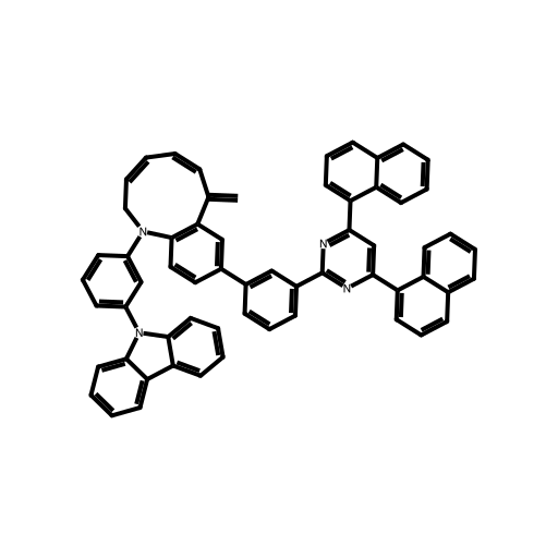 C=C1/C=C\C=C/CN(c2cccc(-n3c4ccccc4c4ccccc43)c2)c2ccc(-c3cccc(-c4nc(-c5cccc6ccccc56)cc(-c5cccc6ccccc56)n4)c3)cc21